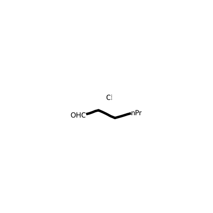 CCCCCC=O.[C]